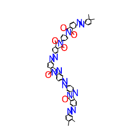 Cc1ccc(N=Nc2ccc3c(c2)C(=O)N(c2ccc(N4C(=O)c5ccc(N=Nc6ccc7c(c6)-c6nc8cc(N=Nc9ccc%10nc%11n(c%10c9)C(=O)c9cc(N=Nc%10ccc(C)c(C)c%10)ccc9-%11)ccc8n6C7=O)cc5C4=O)cc2)C3=O)cc1C